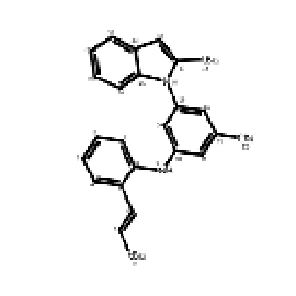 CC(C)(C)/C=C/c1ccccc1Nc1cc(C#N)cc(-n2c(C(C)(C)C)cc3ccccc32)c1